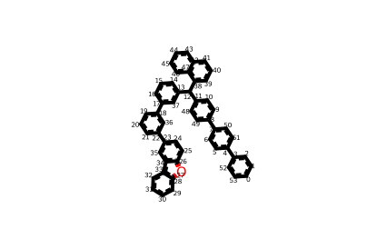 c1ccc(-c2ccc(-c3ccc(C(c4cccc(-c5cccc(-c6ccc7oc8ccccc8c7c6)c5)c4)c4cccc5ccccc45)cc3)cc2)cc1